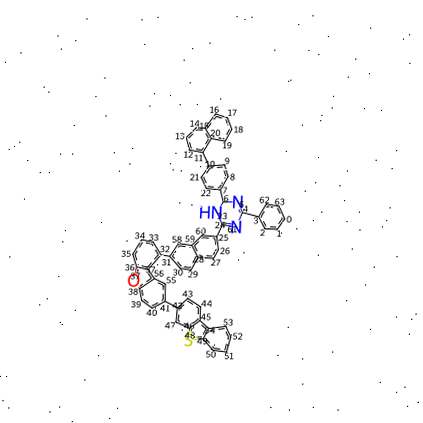 c1ccc(C2=NC(c3ccc(-c4cccc5ccccc45)cc3)NC(c3ccc4ccc(-c5cccc6oc7ccc(-c8ccc9c(c8)sc8ccccc89)cc7c56)cc4c3)=N2)cc1